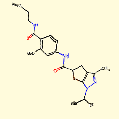 CCCCC(CC)n1nc(C)c2c1SC(C(=O)Nc1ccc(C(=O)NCCOC)c(OC)c1)C2